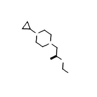 CCOC(=O)CN1CCN(C2CC2)CC1